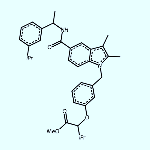 COC(=O)C(Oc1cccc(Cn2c(C)c(C)c3cc(C(=O)NC(C)c4cccc(C(C)C)c4)ccc32)c1)C(C)C